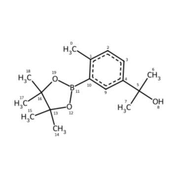 Cc1ccc(C(C)(C)O)cc1B1OC(C)(C)C(C)(C)O1